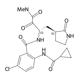 CNC(=O)C(=O)[C@H](C[C@@H]1CCNC1=O)NC(=O)c1cc(Cl)ccc1NC(=O)C1CC1